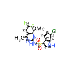 COc1nc(NS(=O)(=O)c2c[nH]c3cc(Cl)ccc23)nc(C)c1CC(F)F